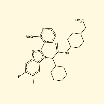 COc1ncccc1-c1nc2cc(F)c(F)cc2n1C(C(=O)NC1CCC(CC(=O)O)CC1)C1CCCCC1